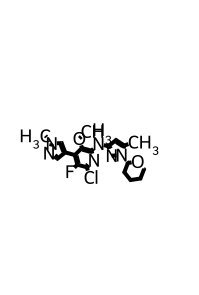 COc1c(Nc2cc(C)n(C3CCCCO3)n2)nc(Cl)c(F)c1-c1cnn(C)c1